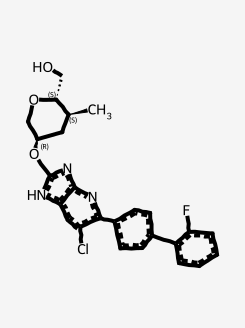 C[C@H]1C[C@@H](Oc2nc3nc(-c4ccc(-c5ccccc5F)cc4)c(Cl)cc3[nH]2)CO[C@@H]1CO